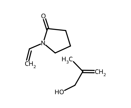 C=C(C)CO.C=CN1CCCC1=O